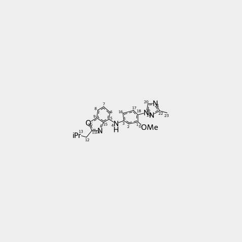 COc1cc(Nc2cccc3oc(CC(C)C)nc23)ccc1-n1cnc(C)n1